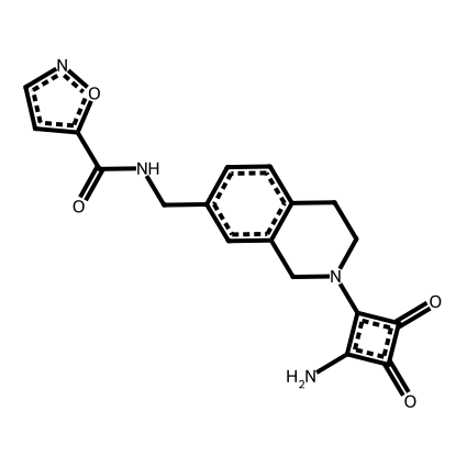 Nc1c(N2CCc3ccc(CNC(=O)c4ccno4)cc3C2)c(=O)c1=O